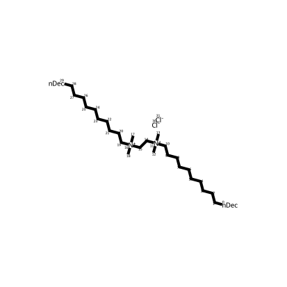 CCCCCCCCCCCCCCCCCCCC[N+](C)(C)CC[N+](C)(C)CCCCCCCCCCCCCCCCCCCC.[Cl-].[Cl-]